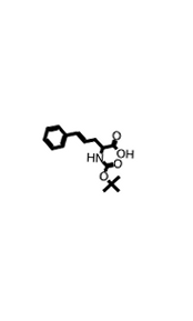 CC(C)(C)OC(=O)NC(CC=Cc1ccccc1)C(=O)O